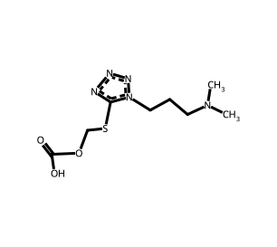 CN(C)CCCn1nnnc1SCOC(=O)O